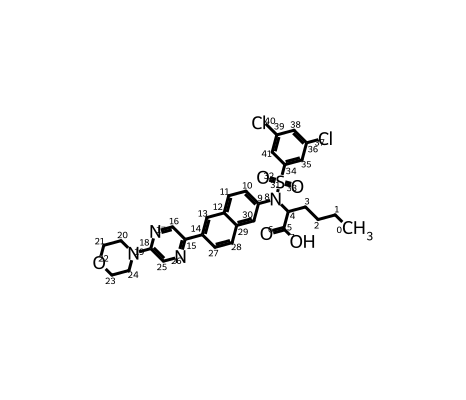 CCCCC(C(=O)O)N(c1ccc2cc(-c3cnc(N4CCOCC4)cn3)ccc2c1)S(=O)(=O)c1cc(Cl)cc(Cl)c1